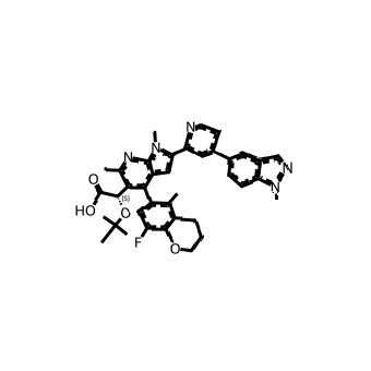 Cc1nc2c(cc(-c3cc(-c4ccc5c(cnn5C)c4)ccn3)n2C)c(-c2cc(F)c3c(c2C)CCCO3)c1[C@H](OC(C)(C)C)C(=O)O